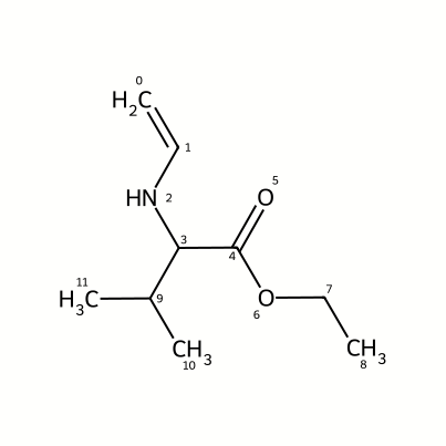 C=CNC(C(=O)OCC)C(C)C